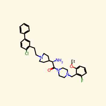 CCOc1cccc(F)c1CN1CCN(C(=O)[C@H](N)C2CCN(CCc3cc(-c4ccccc4)ccc3Cl)CC2)CC1